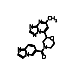 Cc1cc(C2CN(C(=O)c3ccc4nccn4c3)CCO2)n2ncnc2n1